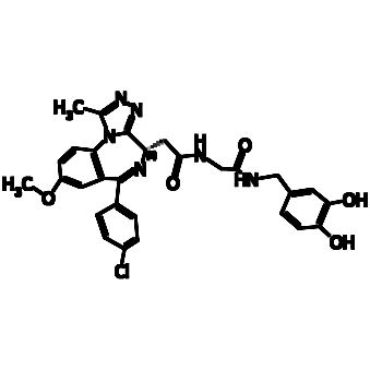 COc1ccc2c(c1)C(c1ccc(Cl)cc1)=N[C@@H](CC(=O)NCC(=O)NCc1ccc(O)c(O)c1)c1nnc(C)n1-2